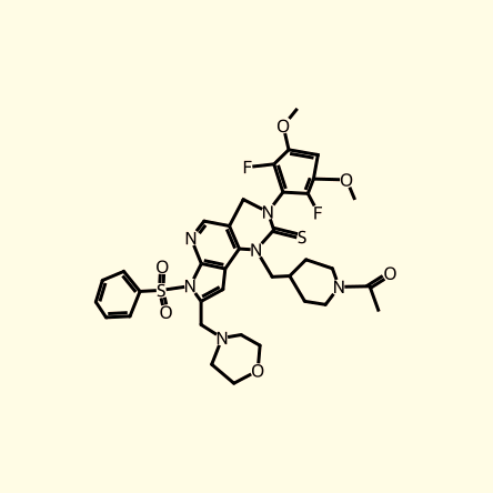 COc1cc(OC)c(F)c(N2Cc3cnc4c(cc(CN5CCOCC5)n4S(=O)(=O)c4ccccc4)c3N(CC3CCN(C(C)=O)CC3)C2=S)c1F